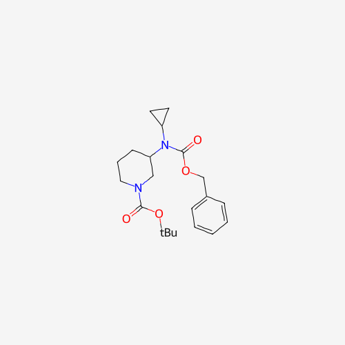 CC(C)(C)OC(=O)N1CCCC(N(C(=O)OCc2ccccc2)C2CC2)C1